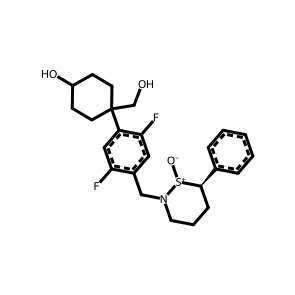 [O-][S+]1[C@@H](c2ccccc2)CCCN1Cc1cc(F)c(C2(CO)CCC(O)CC2)cc1F